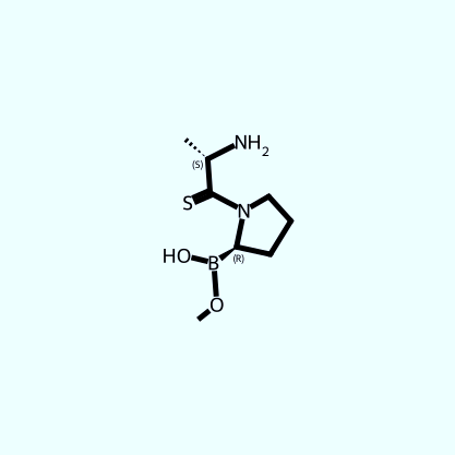 COB(O)[C@@H]1CCCN1C(=S)[C@H](C)N